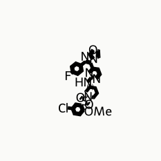 COc1ccc(Cl)cc1S(=O)(=O)N1CCC[C@@H](Nc2nccc(-c3c(-c4ccc(F)cc4)nc4occn34)n2)C1